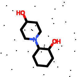 OC1CCN(C2CCCCC2O)CC1